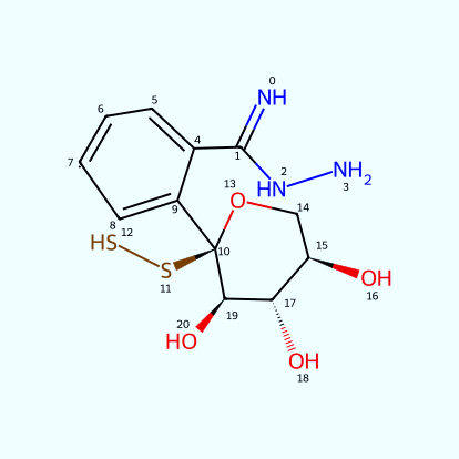 N=C(NN)c1cc[c]cc1[C@]1(SS)OC[C@@H](O)[C@H](O)[C@H]1O